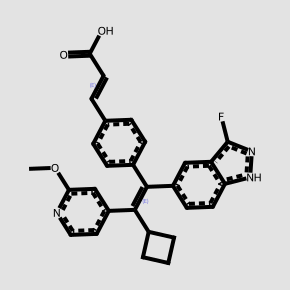 COc1cc(/C(=C(\c2ccc(/C=C/C(=O)O)cc2)c2ccc3[nH]nc(F)c3c2)C2CCC2)ccn1